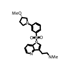 CNCCc1cn(S(=O)(=O)c2cccc(N3CC[C@H](OC)C3)c2)c2cccnc12